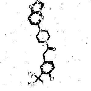 CC(F)(P)c1cc(CC(=O)N2CCN(c3ccc4nncn4n3)CC2)ccc1Cl